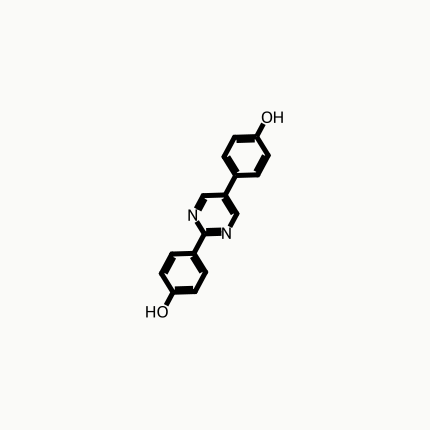 Oc1ccc(-c2cnc(-c3ccc(O)cc3)nc2)cc1